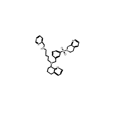 O=S(=O)(c1cccc(CN(CCCCNCc2ccccn2)C2CCCc3cccnc32)c1)N1CCc2cccnc2C1